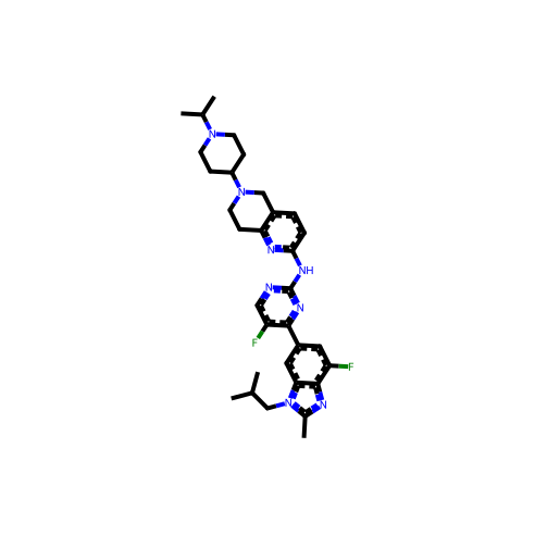 Cc1nc2c(F)cc(-c3nc(Nc4ccc5c(n4)CCN(C4CCN(C(C)C)CC4)C5)ncc3F)cc2n1CC(C)C